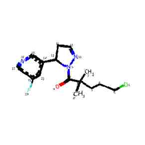 CC(C)(CCCCl)C(=O)N1N=CCC1c1cncc(F)c1